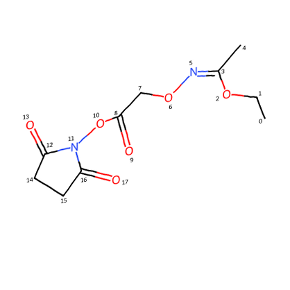 CCO/C(C)=N\OCC(=O)ON1C(=O)CCC1=O